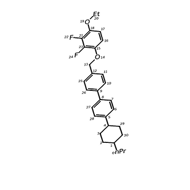 CCCC1CCC(c2ccc(-c3ccc(COc4ccc(OCC)c(F)c4F)cc3)cc2)CC1